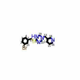 Brc1cccc(CSC2=NCN(Cc3cccnc3)CN2)c1